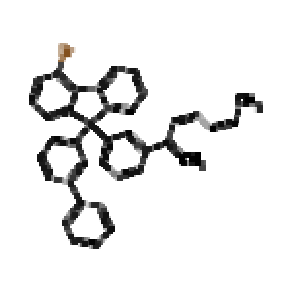 C=C(/C=C\C=C/C)c1cccc(C2(c3cccc(-c4ccccc4)c3)c3ccccc3-c3c(Br)cccc32)c1